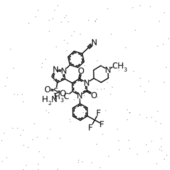 Cc1c(-c2c(S(N)(=O)=O)cnn2-c2ccc(C#N)cc2)c(=O)n(C2CCN(C)CC2)c(=O)n1-c1cccc(C(F)(F)F)c1